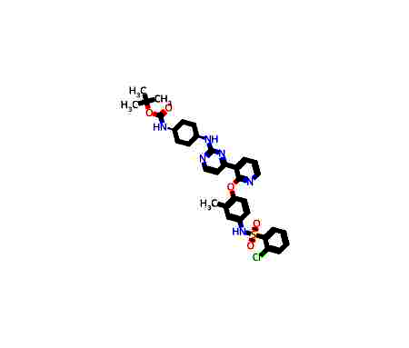 Cc1cc(NS(=O)(=O)c2ccccc2Cl)ccc1Oc1ncccc1-c1ccnc(N[C@H]2CC[C@H](NC(=O)OC(C)(C)C)CC2)n1